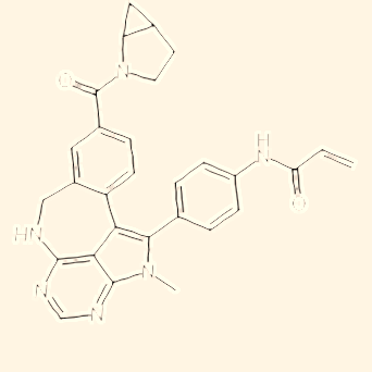 C=CC(=O)Nc1ccc(-c2c3c4c(ncnc4n2C)NCc2cc(C(=O)N4CCC5CC54)ccc2-3)cc1